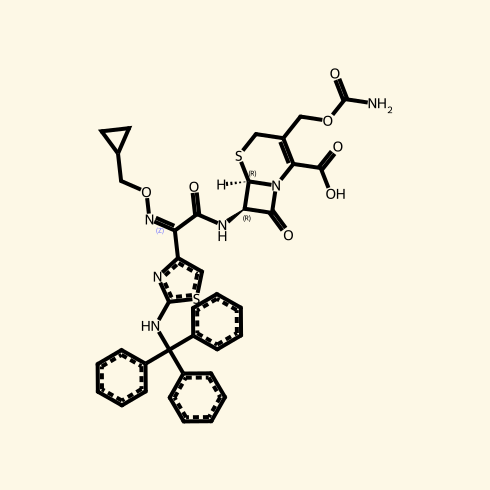 NC(=O)OCC1=C(C(=O)O)N2C(=O)[C@@H](NC(=O)/C(=N\OCC3CC3)c3csc(NC(c4ccccc4)(c4ccccc4)c4ccccc4)n3)[C@H]2SC1